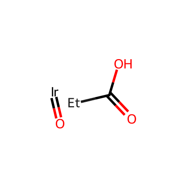 CCC(=O)O.[O]=[Ir]